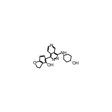 Oc1c(-c2nnc(N[C@H]3CC[C@@H](O)CC3)c3cnccc23)ccc2c1CCO2